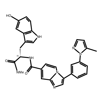 CNC(=O)[C@H](Cc1c[nH]c2ccc(O)cc12)NC(=O)c1ccn2c(-c3cccc(-n4nccc4C)c3)cnc2c1